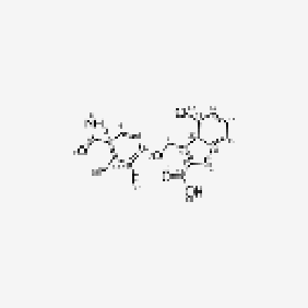 NC(=O)c1ccc(OCc2c(C(=O)O)sc3cccc(Cl)c23)c(F)c1F